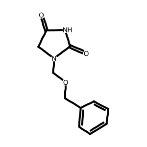 O=C1CN(COCc2ccccc2)C(=O)N1